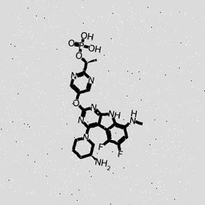 CNc1cc(F)c(F)c2c1[nH]c1nc(Oc3cnc([C@H](C)OP(=O)(O)O)nc3)nc(N3CCC[C@H](N)C3)c12